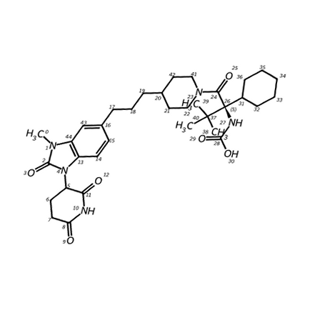 Cn1c(=O)n(C2CCC(=O)NC2=O)c2ccc(CCCC3CCN(C(=O)[C@](NC(=O)O)(C4CCCCC4)C(C)(C)C)CC3)cc21